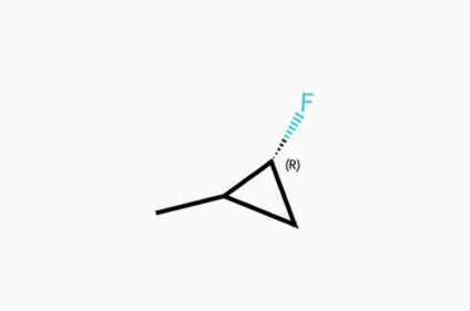 CC1C[C@H]1F